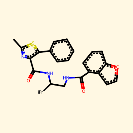 Cc1nc(C(=O)NC(CNC(=O)c2cccc3occc23)C(C)C)c(-c2ccccc2)s1